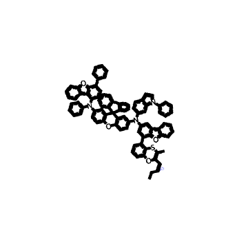 CC/C=C\C1=C(C)Sc2c(cccc2-c2cc(N(c3ccc4c(c3)C3(c5cc(N(c6ccccc6)c6ccc(-c7ccccc7)c7oc8ccccc8c67)ccc5O4)c4ccccc4-c4ccccc43)c3ccc4ccn(-c5ccccc5)c4c3)cc3c2oc2ccccc23)O1